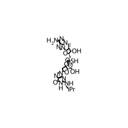 CC(C)CNc1nc2c(ncn2[C@H]2C[C@H](OP(=O)(S)OC[C@H]3O[C@@H](n4cnc5c(N)ncnc54)[C@H](F)[C@@H]3O)[C@@H](CO)O2)c(=O)[nH]1